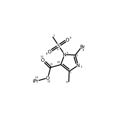 Cc1nc(Br)n(S(C)(=O)=O)c1C(=O)OC(C)C